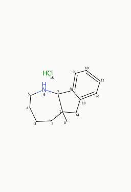 CC12CCCCNC1c1ccccc1C2.Cl